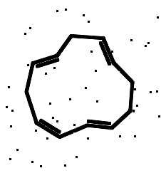 [CH]1/C=C/C=C\C/C=C/C/C=C/C1